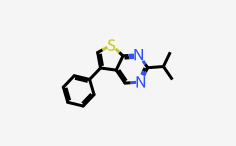 CC(C)c1ncc2c(-c3ccccc3)csc2n1